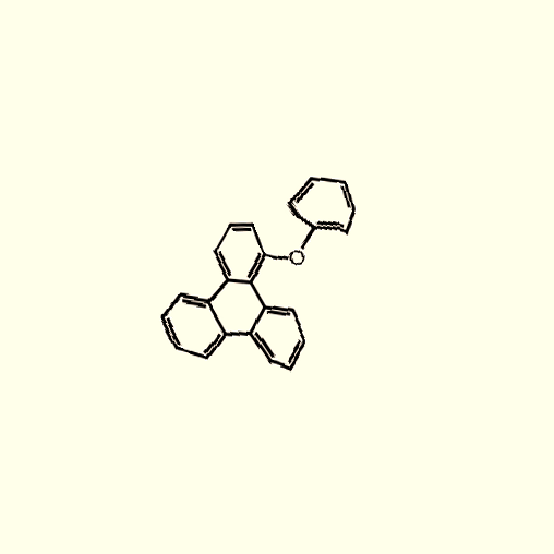 c1ccc(Oc2cccc3c4ccccc4c4ccccc4c23)cc1